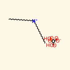 CCCCCCCCCCCCCCCCCC[N+](C)(C)CCCCCCCCCCCCCCCCCC.O=C([O-])c1cc(C(=O)O)cc(S(=O)(=O)O)c1